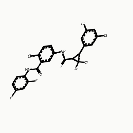 O=C(Nc1ccc(F)cc1F)c1cc(NC(=O)C2C(c3cc(Cl)cc(Cl)c3)C2(Cl)Br)ccc1Cl